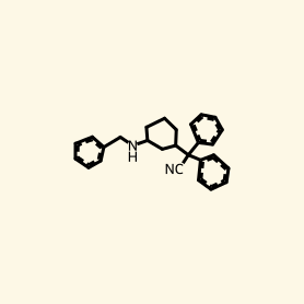 N#CC(c1ccccc1)(c1ccccc1)C1CCCC(NCc2ccccc2)C1